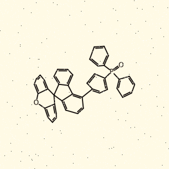 O=P(c1ccccc1)(c1ccccc1)c1ccc(-c2cccc3c2-c2ccccc2C32c3ccccc3Oc3ccccc32)cc1